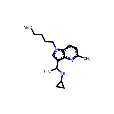 COCCCCn1cc(C(C)NC2CC2)c2nc(C)ccc21